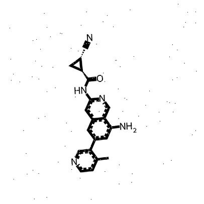 Cc1ccncc1-c1cc(N)c2cnc(NC(=O)[C@H]3C[C@@H]3C#N)cc2c1